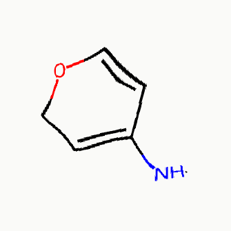 [NH]C1=CCOC=C1